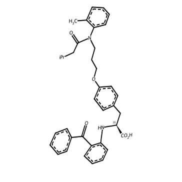 Cc1ccccc1N(CCCOc1ccc(C[C@H](Nc2ccccc2C(=O)c2ccccc2)C(=O)O)cc1)C(=O)CC(C)C